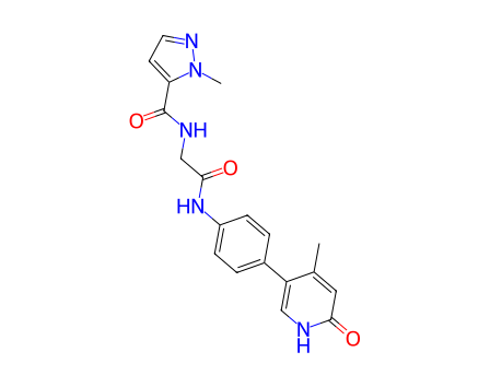 Cc1cc(=O)[nH]cc1-c1ccc(NC(=O)CNC(=O)c2ccnn2C)cc1